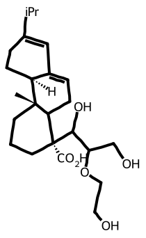 CC(C)C1=CC2=CCC3[C@@](C(=O)O)(C(O)C(CO)OCCO)CCC[C@]3(C)[C@H]2CC1